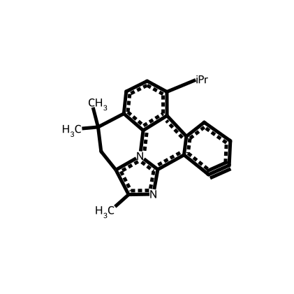 Cc1nc2c3c#cccc3c3c(C(C)C)ccc4c3n2c1CC4(C)C